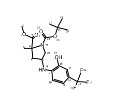 COC(=O)C1(C)CC(Nc2ccc(C(F)(F)F)cc2O)CN1C(=O)OC(C)(C)C